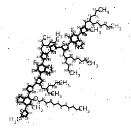 CCCCCCCCCCCCOc1c(C)c(-c2ccc(C)s2)c2nsnc2c1-c1ccc(-c2sc(-c3c(F)c(F)c(-c4cc(CC(CC)CCCC)c(-c5ccc(-c6sc(-c7c(F)c(F)c(-c8cc(CC(CCCC)CCCCCC)c(C)s8)c8nsnc78)cc6CC(CCCC)CCCCCC)s5)s4)c4nsnc34)cc2CC(CC)CCCC)s1